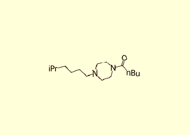 CCCCC(=O)N1CCN(CCCCC(C)C)CC1